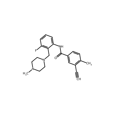 C#Cc1cc(C(=O)Nc2cccc(F)c2CN2CCN(C)CC2)ccc1C